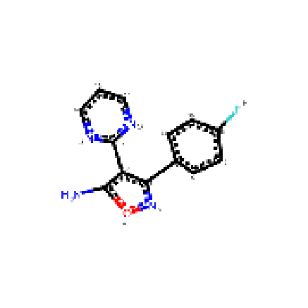 Nc1onc(-c2ccc(F)cc2)c1-c1ncccn1